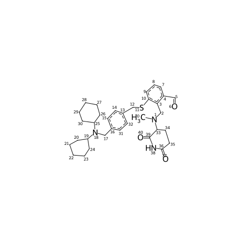 CN(Cc1c(C=O)cccc1SCc1ccc(CN(C2CCCCC2)C2CCCCC2)cc1)C1CCC(=O)NC1=O